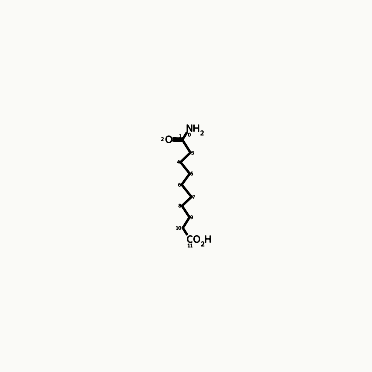 NC(=O)CCCCCCCCC(=O)O